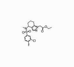 CCOC(=O)Cn1ncc2c1CCCC2N(C)S(=O)(=O)c1ccc(F)c(Cl)c1